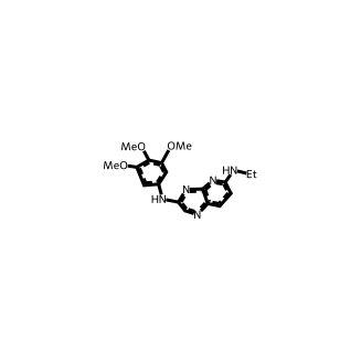 CCNc1ccc2ncc(Nc3cc(OC)c(OC)c(OC)c3)nc2n1